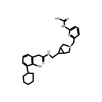 O=C(O)Nc1cccc(CN2CC3C(CNC(=O)Cc4cccc(C5CCCCC5)c4O)C3C2)n1